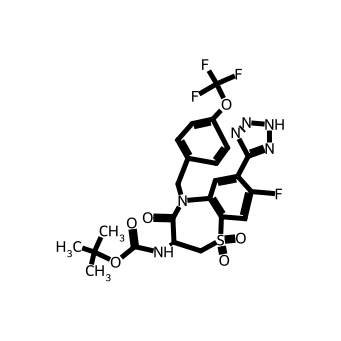 CC(C)(C)OC(=O)N[C@H]1CS(=O)(=O)c2cc(F)c(-c3nn[nH]n3)cc2N(Cc2ccc(OC(F)(F)F)cc2)C1=O